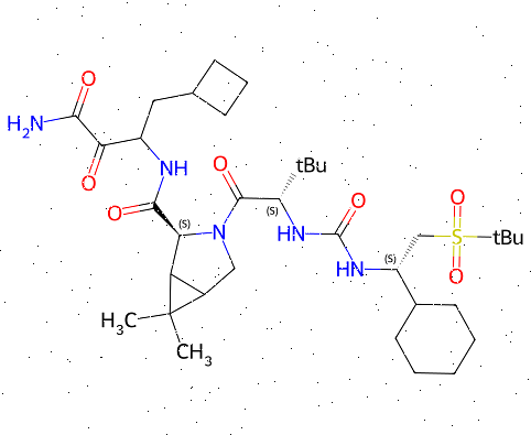 CC1(C)C2CN(C(=O)[C@@H](NC(=O)N[C@H](CS(=O)(=O)C(C)(C)C)C3CCCCC3)C(C)(C)C)[C@H](C(=O)NC(CC3CCC3)C(=O)C(N)=O)C21